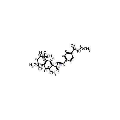 CCOC(=O)c1ccc(/C=C/C(=O)c2cc3c(cc2C)C(C)(C)CCC3(C)C)cc1